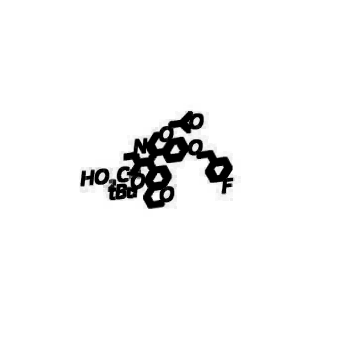 Cc1nc(COCC2COC2)c(-c2ccc(OCCc3ccc(F)cc3)cc2)c(-c2ccc3c(c2)CCCO3)c1[C@H](OC(C)(C)C)C(=O)O